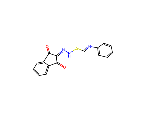 O=c1c(=NNSC=Nc2ccccc2)c(=O)c2ccccc12